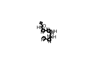 O=C(Nc1cncc(-c2cc3c(-c4nc5c(-c6cccnc6)cncc5[nH]4)n[nH]c3cn2)c1)C1CCC1